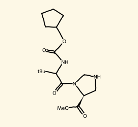 COC(=O)[C@@H]1CNCN1C(=O)C(NC(=O)OC1CCCC1)C(C)(C)C